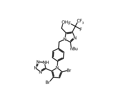 CCCCc1nc(C(F)(F)C(F)(F)F)c(CO)n1Cc1ccc(-n2c(Br)cc(Br)c2-c2nnn[nH]2)cc1